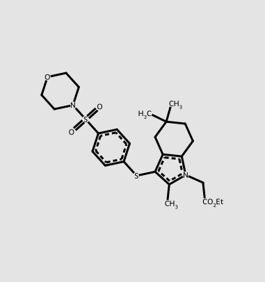 CCOC(=O)Cn1c(C)c(Sc2ccc(S(=O)(=O)N3CCOCC3)cc2)c2c1CCC(C)(C)C2